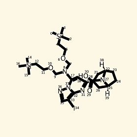 C[Si](C)(C)CCOCN(COCC[Si](C)(C)C)c1cc([C@@H]2C[C@H]3CC[C@@H](C2)N3C(=O)O)nc2c(I)cnn12